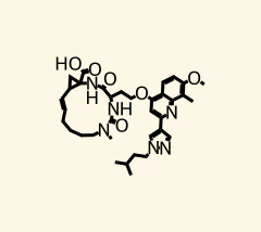 COc1ccc2c(OCCC3NC(=O)N(C)CCCC/C=C/C4CC4(C(=O)O)NC3=O)cc(-c3cnn(CCC(C)C)c3)nc2c1C